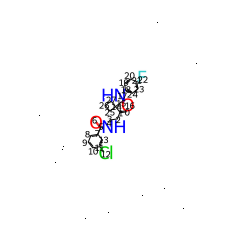 C=C(CCNC(=O)c1cccc(Cl)c1)C1(C(=O)Nc2ccc(F)cc2)CCC1